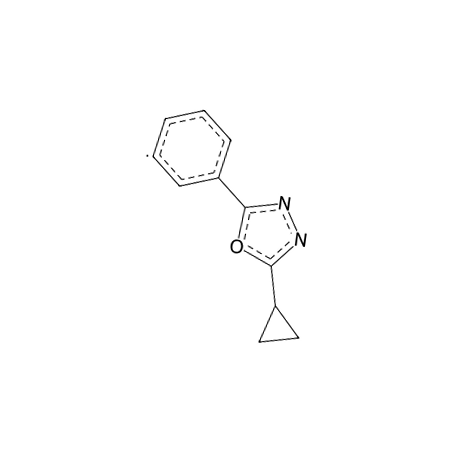 [c]1cccc(-c2nnc(C3CC3)o2)c1